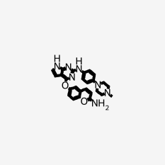 CN1CCN(c2ccc(Nc3nc(Oc4cccc(C=CC(N)=O)c4)c4cc[nH]c4n3)cc2)CC1